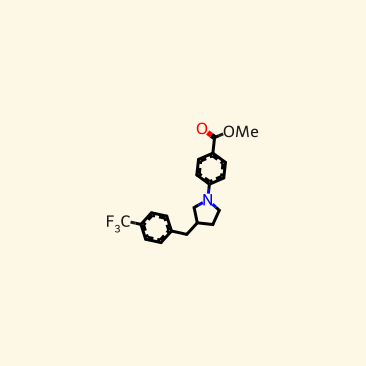 COC(=O)c1ccc(N2CCC(Cc3ccc(C(F)(F)F)cc3)C2)cc1